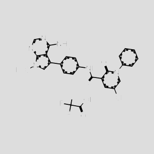 Cn1cc(-c2ccc(NC(=O)c3cc(C(F)(F)F)cn(-c4ccccc4)c3=O)cc2)c2c(N)ncnc21.O=C(O)C(F)(F)F